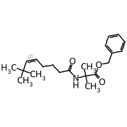 CC(C)(C)/C=C\CCCC(=O)NC(C)(C)C(=O)OCc1ccccc1